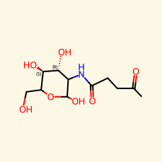 CC(=O)CCC(=O)NC1C(O)OC(CO)[C@@H](O)[C@@H]1O